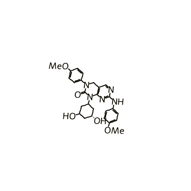 COc1ccc(Nc2ncc3c(n2)N(C2CC(O)C[C@@H](O)C2)C(=O)N(c2ccc(OC)cc2)C3)cc1